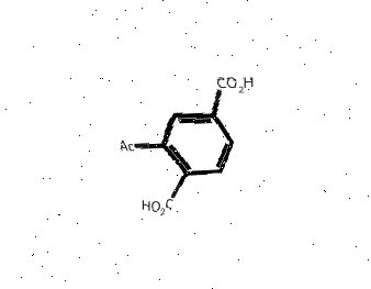 CC(=O)c1cc(C(=O)O)ccc1C(=O)O